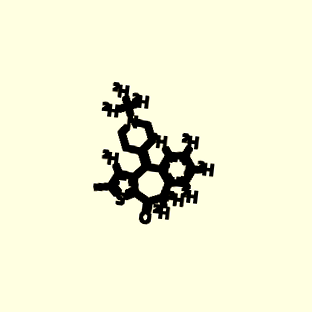 [2H]c1c([2H])c([2H])c2c(c1[2H])C(=C1CCN(C([2H])([2H])[2H])CC1)c1c(sc(C)c1[2H])C(=O)C2([2H])[2H]